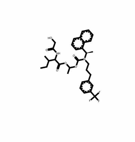 CCC(C)C(NC(=O)CO)C(=O)OC(C)OC(=O)N(CCCc1cccc(C(F)(F)F)c1)[C@H](C)c1cccc2ccccc12